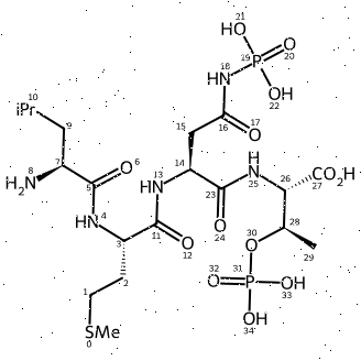 CSCC[C@H](NC(=O)[C@@H](N)CC(C)C)C(=O)N[C@@H](CC(=O)NP(=O)(O)O)C(=O)N[C@H](C(=O)O)[C@@H](C)OP(=O)(O)O